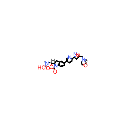 CN(C[C@@H]1OC(=O)N2c3ccc(-c4ccc(C5=NOC(CN6CCOCC6)C5)nc4)cc3C[C@@H]12)C(=O)O